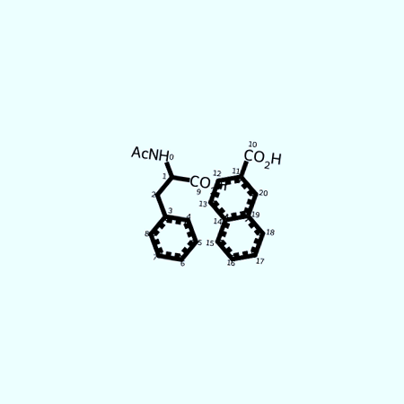 CC(=O)NC(Cc1ccccc1)C(=O)O.O=C(O)c1ccc2ccccc2c1